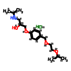 CC(C)NC[C@H](O)COc1ccc(COCCOC(C)C)cc1.Cl